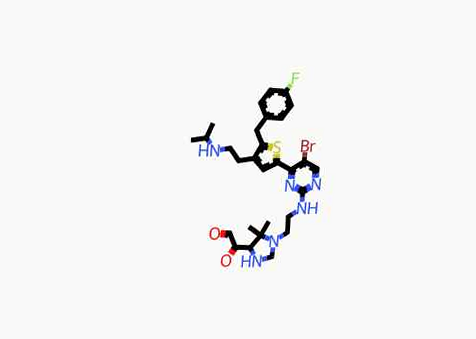 CC(C)NCCc1cc(-c2nc(NCCN3CNC(C(=O)C=O)C3(C)C)ncc2Br)sc1Cc1ccc(F)cc1